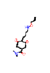 C=CCONCCCC=C1C(=O)CC(C(=O)N(C)C)CC1=O